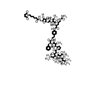 CCC(C)C(C(CC(=O)N1CCC[C@@H]1C(OC)C(C)C(=O)N[C@@H](Cc1ccccc1)C(=O)NCCc1ccc(NC(=O)C(CCCNC(N)=O)NC(=O)[C@H](NC(=O)C[C@@H]2O[C@H](CNC(=O)CCCCCN3C(=O)C=CC3=O)C(O)C2O)C(C)C)cc1)OC)N(C)C(=O)[C@@H](NC(=O)C(C(C)C)N(C)C)C(C)C